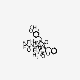 COc1ccc(C[C@H](NC(=O)[C@H](C)NC(=O)C(F)(F)F)C(=O)N[C@@H](Cc2ccccc2)C(=O)[C@@]2(C)CO2)cc1